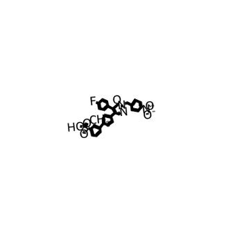 Cc1c(-c2ccc(-c3cnn(Cc4ccc([N+](=O)[O-])cc4)c(=O)c3-c3ccc(F)cc3)cc2)cccc1S(=O)(=O)O